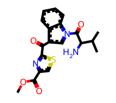 COC(=O)c1csc(C(=O)c2cn(C(=O)C(N)C(C)C)c3ccccc23)n1